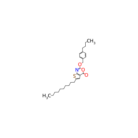 CCCCCCCCCCc1cc2c(=O)oc(OCc3ccc(CCCC)cc3)nc2s1